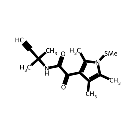 C#CC(C)(C)NC(=O)C(=O)c1c(C)c(C)n(SC)c1C